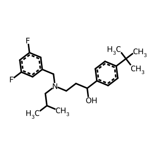 CC(C)CN(CCC(O)c1ccc(C(C)(C)C)cc1)Cc1cc(F)cc(F)c1